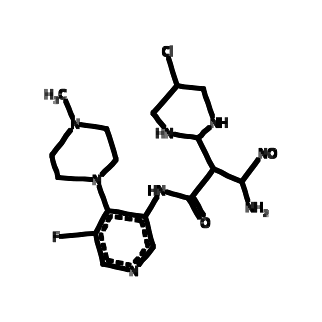 CN1CCN(c2c(F)cncc2NC(=O)C(C(N)N=O)C2NCC(Cl)CN2)CC1